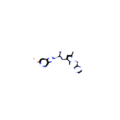 COc1cc2nc(/C(C#N)=C/c3cc(C)n(Cc4cnccn4)c3C)[nH]c2cn1